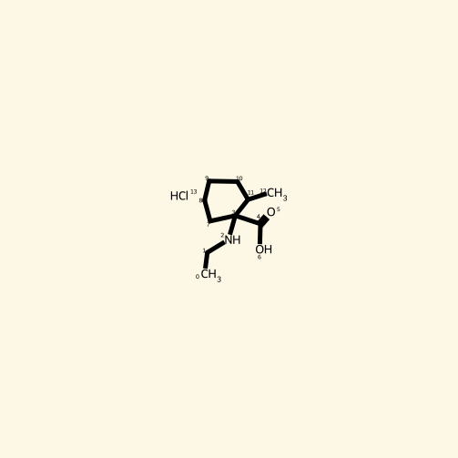 CCNC1(C(=O)O)CCCCC1C.Cl